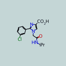 CC(C)NC(=O)Cn1cc(C(=O)O)nc1-c1cccc(Cl)c1